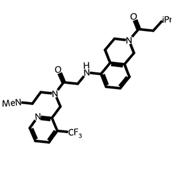 CNCCN(Cc1ncccc1C(F)(F)F)C(=O)CNc1cccc2c1CCN(C(=O)CC(C)C)C2